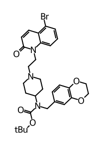 CC(C)(C)OC(=O)N(Cc1ccc2c(c1)OCCO2)C1CCN(CCn2c(=O)ccc3c(Br)cccc32)CC1